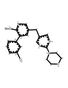 COc1ncc(Cc2cnc(N3CCOCC3)nc2)cc1-c1cccc(Cl)c1